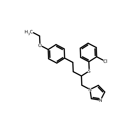 CCOc1ccc(CCC(Cn2ccnc2)Sc2ccccc2Cl)cc1